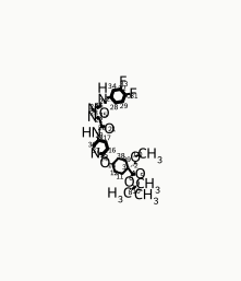 COC[C@]1(C(=O)OC(C)(C)C)CC[C@H](Oc2ccc(NC(=O)c3nnc(Nc4ccc(F)c(F)c4)o3)cn2)CC1